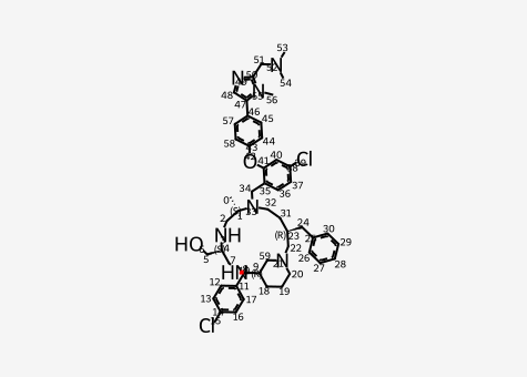 C[C@H]1CN[C@H](CO)CN[C@@]2(Cc3ccc(Cl)cc3)CCCN(C[C@H](Cc3ccccc3)CCN1Cc1ccc(Cl)cc1Oc1ccc(-c3cnc(CN(C)C)n3C)cc1)C2